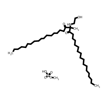 CCCCCCCCCCCCCCCCCC(=O)C(C)(NCCO)C(=O)CCCCCCCCCCCCCCCCC.COS(=O)(=O)O